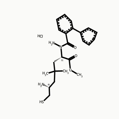 COC(=O)[C@H](CC(C)(C)C[C@@H](N)CS)N(N)C(=O)c1ccccc1-c1ccccc1.Cl